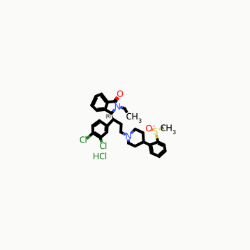 CCN1C(=O)c2ccccc2[C@H]1C(CCN1CCC(c2ccccc2[S+](C)[O-])CC1)c1ccc(Cl)c(Cl)c1.Cl